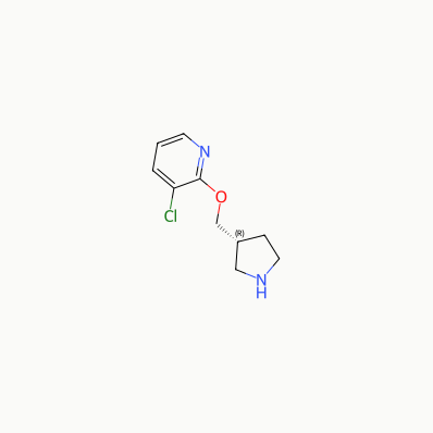 Clc1cccnc1OC[C@@H]1CCNC1